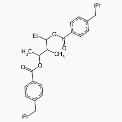 CCC(OC(=O)c1ccc(CC(C)C)cc1)C(C)C(C)OC(=O)c1ccc(CC(C)C)cc1